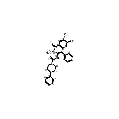 Cc1cc2c(-c3ccccc3)c(NC(=O)N3CCC(c4ccccc4)CC3)n(C)c(=O)c2cc1C